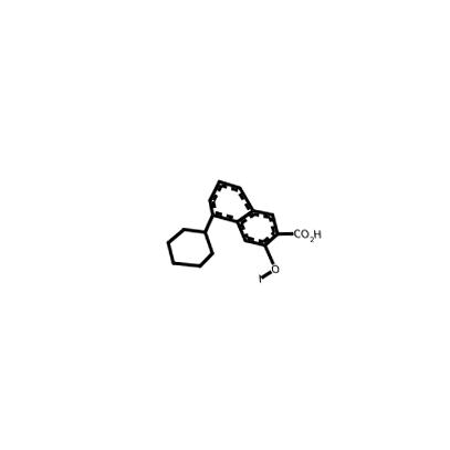 O=C(O)c1cc2cccc(C3CCCCC3)c2cc1OI